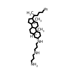 CC(C)CCC[C@@H](C)C1CCC2C3CC[C@H]4C[C@@H](NCCCNCCCN)CC[C@]4(C)C3CC[C@@]21C